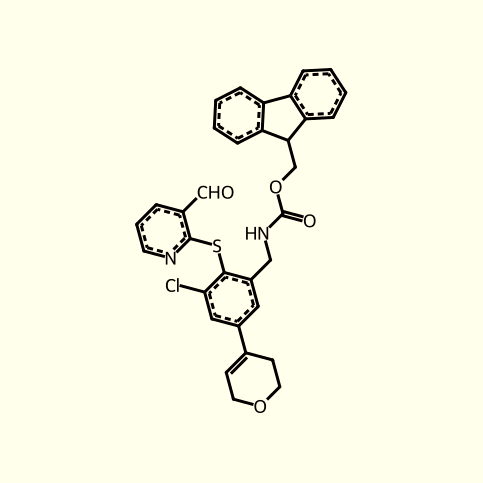 O=Cc1cccnc1Sc1c(Cl)cc(C2=CCOCC2)cc1CNC(=O)OCC1c2ccccc2-c2ccccc21